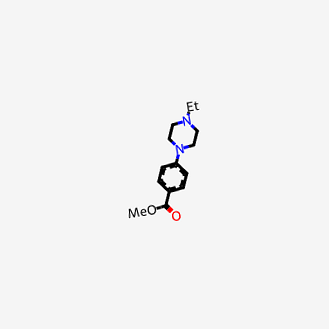 CCN1CCN(c2ccc(C(=O)OC)cc2)CC1